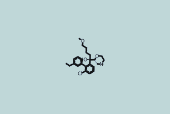 CCc1cccc(-c2c(Cl)cccc2[C@](O)(CCCCOC)[C@H]2C[N]CCO2)c1